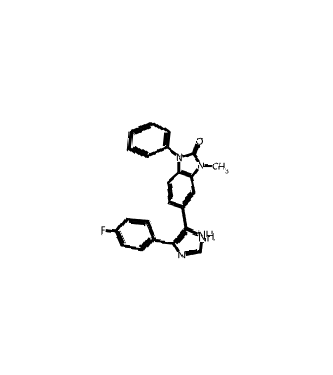 Cn1c(=O)n(-c2ccccc2)c2ccc(-c3[nH]cnc3-c3ccc(F)cc3)cc21